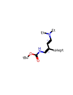 CCCCCCCC(=C/NC(=O)OC(C)(C)C)/C=C/N(CC)CC